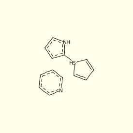 C1=C[SH](c2ccc[nH]2)C=C1.c1ccncc1